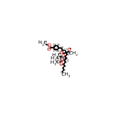 CCCCCCCC(CCCC(CCCc1ccc(C(=O)OCC)cc1)(C(C)=O)C(=O)OC(C)(C)C)OC(C)=O